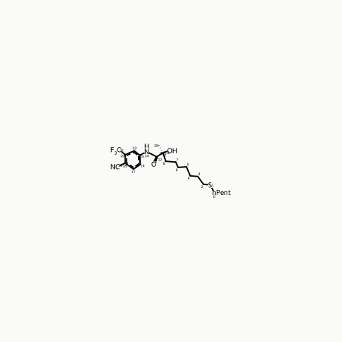 CCCCCSCCCCCCC[C@](C)(O)C(=O)Nc1ccc(C#N)c(C(F)(F)F)c1